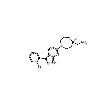 CC1(CN)CCCN(c2cnc3c(-c4ccccc4Cl)n[nH]c3n2)CC1